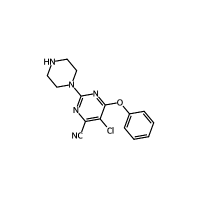 N#Cc1nc(N2CCNCC2)nc(Oc2ccccc2)c1Cl